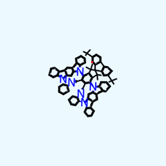 CC(C)(C)c1ccc2c(c1)C1(c3cc(C(C)(C)C)ccc3-2)C(C)(C)c2c(-n3c4ccccc4c4cc5c6ccccc6n(-c6ccccc6)c5cc43)c(C#N)c(C#N)c(-n3c4ccccc4c4cc5c6ccccc6n(-c6ccccc6)c5cc43)c2C1(C)C